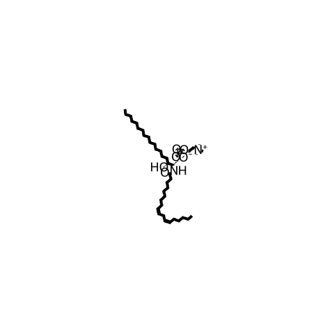 CCCCC/C=C\C/C=C\CCCCCCCC(=O)N[C@@H](COP(=O)([O-])OCC[N+](C)(C)C)[C@H](O)CCCCCCCCCCCCCCC